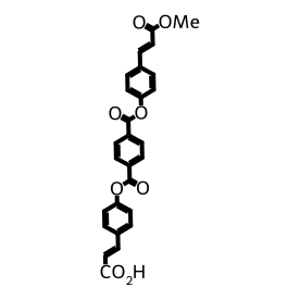 COC(=O)/C=C/c1ccc(OC(=O)c2ccc(C(=O)Oc3ccc(/C=C/C(=O)O)cc3)cc2)cc1